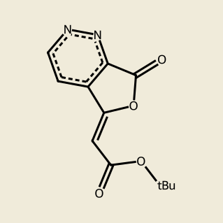 CC(C)(C)OC(=O)C=C1OC(=O)c2nnccc21